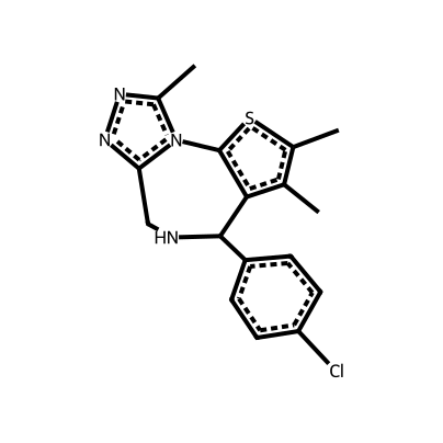 Cc1sc2c(c1C)C(c1ccc(Cl)cc1)NCc1nnc(C)n1-2